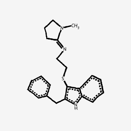 CN1CCCC1=NCCSc1c(Cc2ccccc2)[nH]c2ccccc12